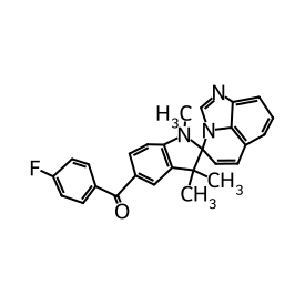 CN1c2ccc(C(=O)c3ccc(F)cc3)cc2C(C)(C)C12C=Cc1cccc3ncn2c13